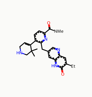 CCc1cc2ncc(Cc3nc(C(=O)NC)ccc3C3=CCNCC3(C)C)cc2[nH]c1=O